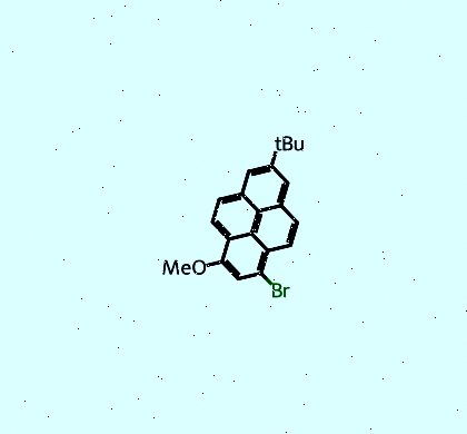 COc1cc(Br)c2ccc3cc(C(C)(C)C)cc4ccc1c2c34